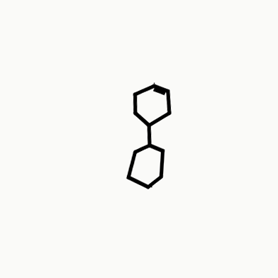 [C]1=CCC(C2CC[CH]CC2)CC1